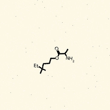 CCC(C)(C)CCCOC(=O)C(C)N